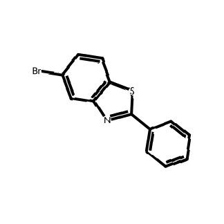 Brc1ccc2sc(-c3ccccc3)nc2c1